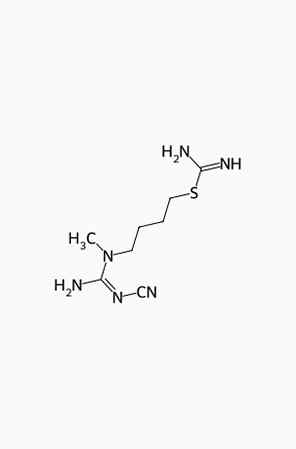 CN(CCCCSC(=N)N)C(N)=NC#N